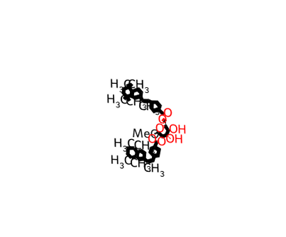 CO[C@H]1O[C@H](COC(=O)c2ccc(C=C(C)c3ccc4c(c3)C(C)(C)CCC4(C)C)cc2)[C@@H](O)[C@H](O)[C@H]1OC(=O)c1ccc(C=C(C)c2ccc3c(c2)C(C)(C)CCC3(C)C)cc1